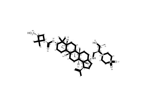 C=C(C)[C@@H]1CC[C@]2(NC[C@@H]([C@@H](C)O)N3CCS(=O)(=O)CC3)CC[C@]3(C)[C@H](CC[C@@H]4[C@@]5(C)CC[C@H](OC(=O)[C@H]6C[C@@H](C(=O)O)C6(C)C)C(C)(C)[C@@H]5CC[C@]43C)[C@@H]12